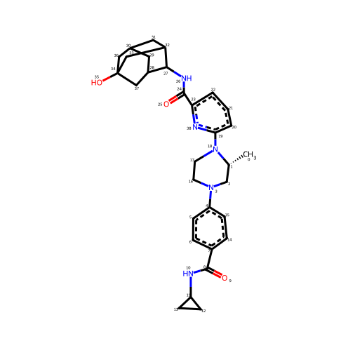 C[C@@H]1CN(c2ccc(C(=O)NC3CC3)cc2)CCN1c1cccc(C(=O)NC2C3CC4CC2CC(O)(C4)C3)n1